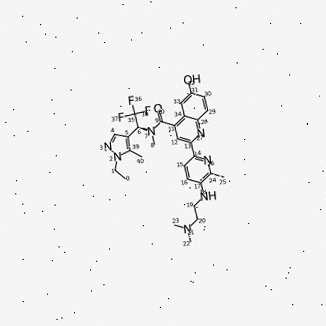 CCn1ncc([C@H](N(C)C(=O)c2cc(-c3ccc(NCCN(C)C)c(C)n3)nc3ccc(O)cc23)C(F)(F)F)c1C